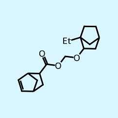 CCC12CCC(CC1OCOC(=O)C1CC3C=CC1C3)C2